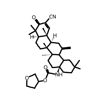 C=C1C[C@@H]2[C@@]3(C)C=C(C#N)C(=O)C(C)(C)[C@@H]3CC[C@@]2(C)[C@]2(C)CC[C@@]3(NC(=O)OC4CCOC4)CCC(C)(C)CC3C12